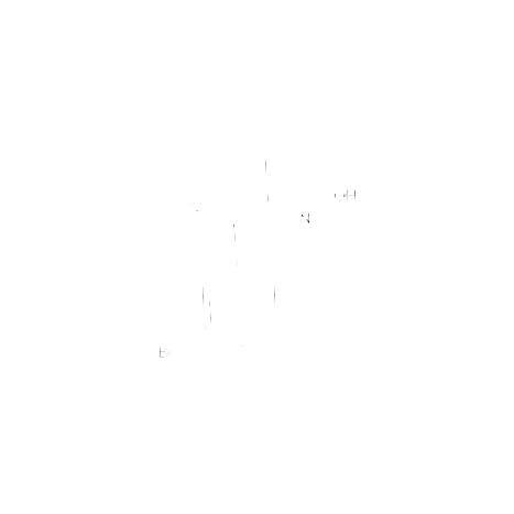 CC(=NO)C(=O)c1cccc(Br)c1